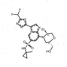 CC[C@H]1CO[C@H](CO)CN1c1cc(S(=O)(=O)NC2(C)CC2)cn2c(-c3nnc(C(F)F)s3)cnc12